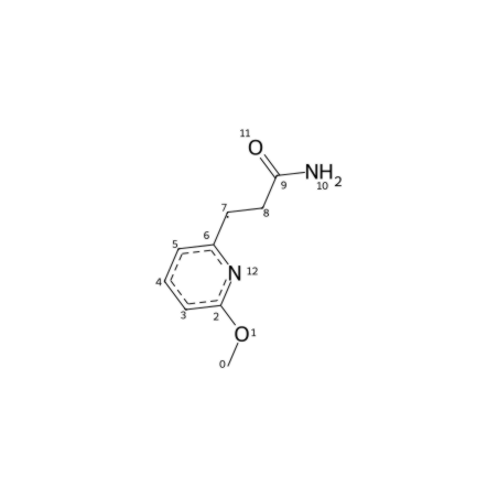 COc1cccc([CH]CC(N)=O)n1